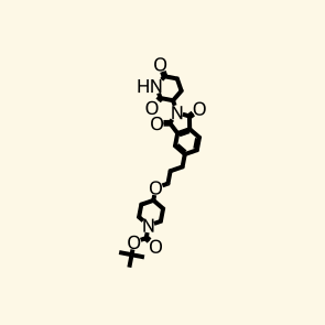 CC(C)(C)OC(=O)N1CCC(OCCCc2ccc3c(c2)C(=O)N(C2CCC(=O)NC2=O)C3=O)CC1